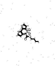 CCCCOC(=O)N1c2ccsc2-c2sccc2S1(=O)=O